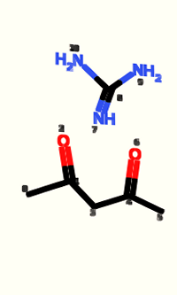 CC(=O)CC(C)=O.N=C(N)N